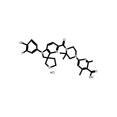 Cc1cc(N2CCN(C(=O)c3ccc4c(n3)C3(CCOC3)CN4c3ccc(Cl)c(F)c3)C(C)(C)C2)nc(C)c1C(=O)O.Cl